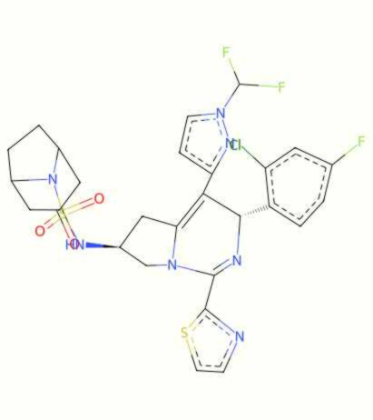 O=C1CC2CCC(C1)N2S(=O)(=O)N[C@H]1CC2=C(c3ccn(C(F)F)n3)[C@H](c3ccc(F)cc3Cl)N=C(c3nccs3)N2C1